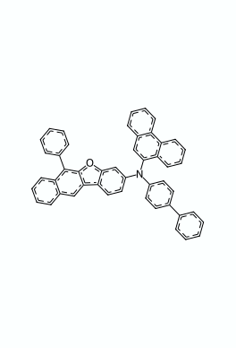 c1ccc(-c2ccc(N(c3ccc4c(c3)oc3c(-c5ccccc5)c5ccccc5cc34)c3cc4ccccc4c4ccccc34)cc2)cc1